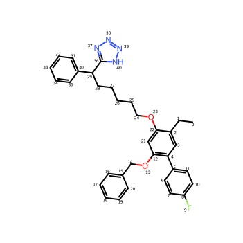 CCc1cc(-c2ccc(F)cc2)c(OCc2ccccc2)cc1OCCCCCC(c1ccccc1)c1nnn[nH]1